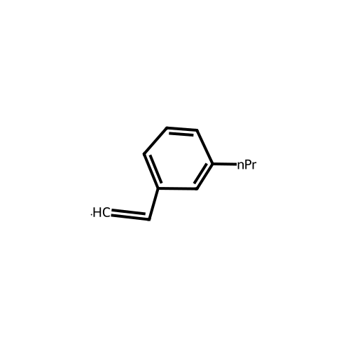 [CH]=Cc1cccc(CCC)c1